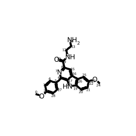 COc1ccc(-c2nc(C(=O)NCCN)cc3c2[nH]c2ccc(OC)cc23)cc1